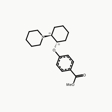 COC(=O)c1ccc(O[C@H]2CCCC[C@@H]2N2CCCCC2)cc1